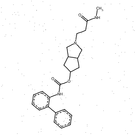 CNC(=O)CCN1CC2CC(OC(=O)Nc3ccccc3-c3ccccc3)CC2C1